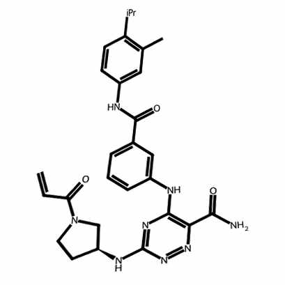 C=CC(=O)N1CC[C@H](Nc2nnc(C(N)=O)c(Nc3cccc(C(=O)Nc4ccc(C(C)C)c(C)c4)c3)n2)C1